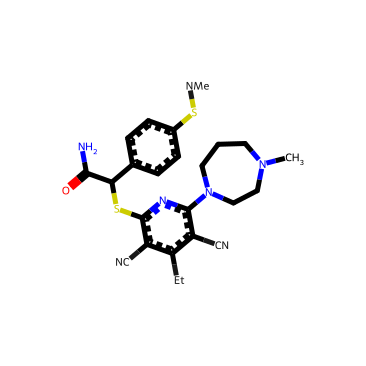 CCc1c(C#N)c(SC(C(N)=O)c2ccc(SNC)cc2)nc(N2CCCN(C)CC2)c1C#N